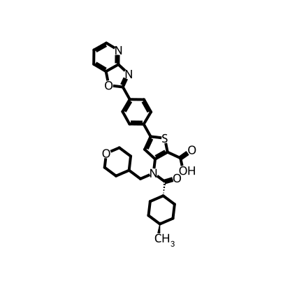 C[C@H]1CC[C@H](C(=O)N(CC2CCOCC2)c2cc(-c3ccc(-c4nc5ncccc5o4)cc3)sc2C(=O)O)CC1